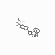 CCNC(=O)c1ccc2cc(-c3ccc(O)c(C45CCC6CC(CC(C6)C4)C5)c3)ccc2c1